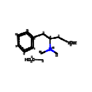 CC(=O)O.CCCCCCCCCCCC(Cc1ccccc1)N(C)C